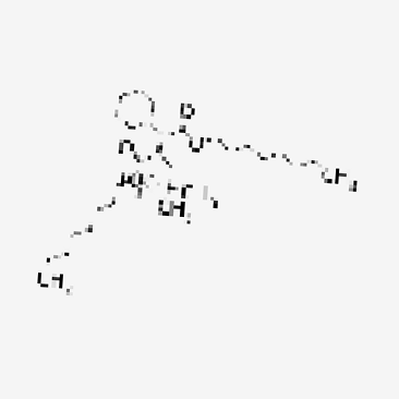 CCCCCCCCOC(=O)C(CC(C)(C)C)=C(C(=O)OCCCCCCCC)C1CCCCC1